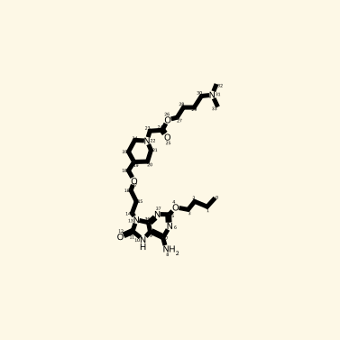 CCCCOc1nc(N)c2[nH]c(=O)n(CCCOCC3CCN(CC(=O)OCCCCN(C)C)CC3)c2n1